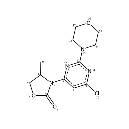 CC1COC(=O)N1c1cc(Cl)nc(N2CCOCC2)n1